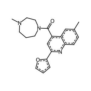 Cc1ccc2nc(-c3ccco3)cc(C(=O)N3CCCN(C)CC3)c2c1